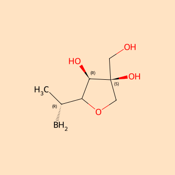 B[C@H](C)C1OC[C@@](O)(CO)[C@@H]1O